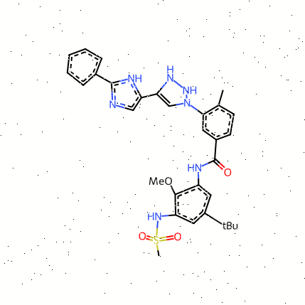 COc1c(NC(=O)c2ccc(C)c(N3C=C(c4cnc(-c5ccccc5)[nH]4)NN3)c2)cc(C(C)(C)C)cc1NS(C)(=O)=O